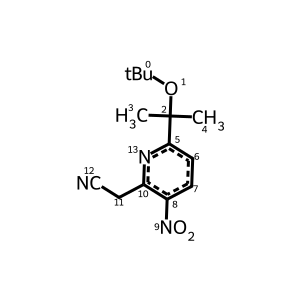 CC(C)(C)OC(C)(C)c1ccc([N+](=O)[O-])c(CC#N)n1